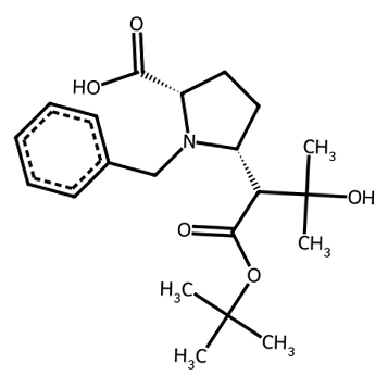 CC(C)(C)OC(=O)C([C@H]1CC[C@@H](C(=O)O)N1Cc1ccccc1)C(C)(C)O